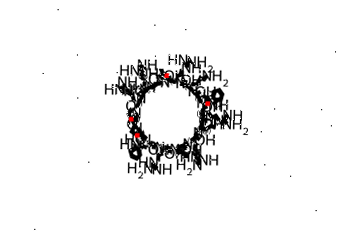 CC[C@H](C)[C@@H]1N=C(O)[C@H](CCCNC(=N)N)N=C(O)[C@H]([C@@H](C)CC)N=C(O)[C@H](CCCNC(=N)N)N=C(O)[C@H](Cc2c[nH]c3ccccc23)N=C(O)[C@@H]2CCCN2C(=O)[C@H]2CCCN2C(=O)[C@H](CCCNC(=N)N)N=C(O)[C@H](CCCNC(=N)N)N=C(O)[C@H](CC(C)C)N=C(O)[C@H](CCCNC(=N)N)N=C(O)[C@H](CCCCN)N=C(O)[C@H](Cc2c[nH]c3ccccc23)N=C(O)[C@H](CCCNC(=N)N)N=C1O